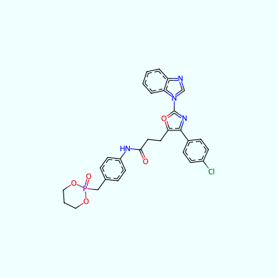 O=C(CCc1oc(-n2cnc3ccccc32)nc1-c1ccc(Cl)cc1)Nc1ccc(CP2(=O)OCCCO2)cc1